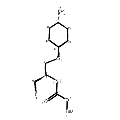 CC(C)(C)OC(=O)N[C@@H](CF)CO[C@H]1CC[C@H](C)CC1